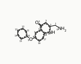 NCc1cc(=O)c2cc(Oc3ccccc3)ccc2[nH]1